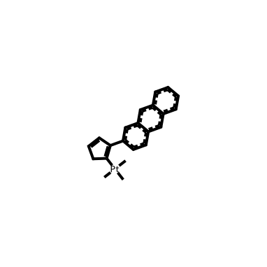 [CH3][Pt]([CH3])([CH3])[C]1=C(c2ccc3cc4ccccc4cc3c2)C=CC1